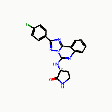 O=C1NCC[C@@H]1Nc1nc2ccccc2c2nc(-c3ccc(F)cc3)nn12